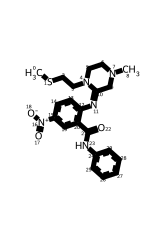 CSCCN1CCN(C)C/C1=N/c1ccc([N+](=O)[O-])cc1C(=O)Nc1ccccc1